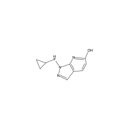 Oc1ccc2cnn(PC3CC3)c2n1